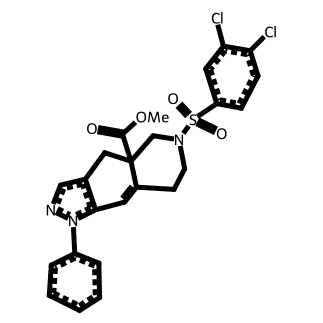 COC(=O)C12Cc3cnn(-c4ccccc4)c3C=C1CCN(S(=O)(=O)c1ccc(Cl)c(Cl)c1)C2